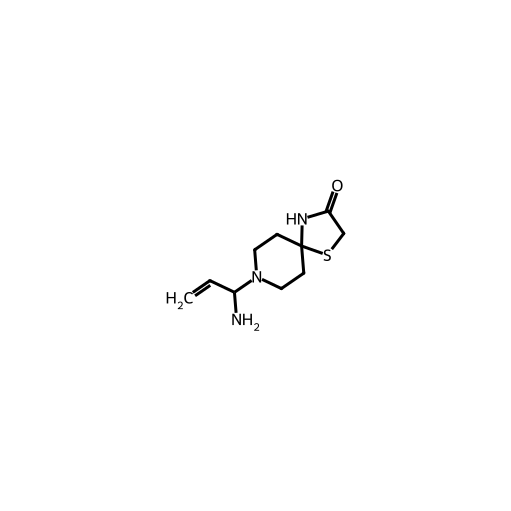 C=CC(N)N1CCC2(CC1)NC(=O)CS2